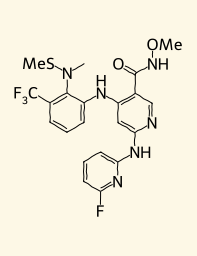 CONC(=O)c1cnc(Nc2cccc(F)n2)cc1Nc1cccc(C(F)(F)F)c1N(C)SC